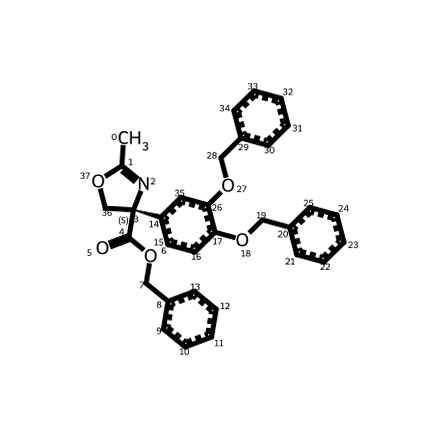 CC1=N[C@@](C(=O)OCc2ccccc2)(c2ccc(OCc3ccccc3)c(OCc3ccccc3)c2)CO1